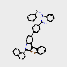 CCC(/N=C(\N=C(/N)c1ccc(-c2ccc3nc(-c4cccc5ccccc45)c4sc5ccccc5c4c3c2)cc1)c1ccccc1)c1ccccc1